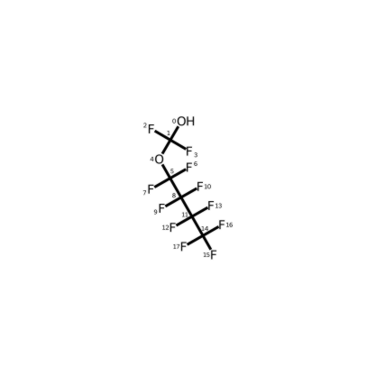 OC(F)(F)OC(F)(F)C(F)(F)C(F)(F)C(F)(F)F